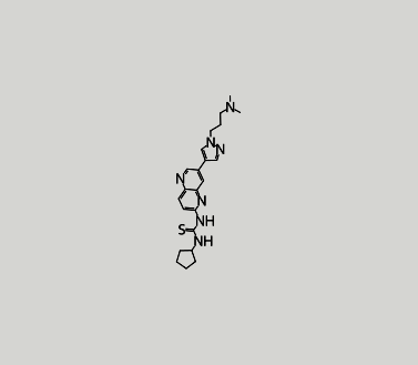 CN(C)CCCn1cc(-c2cnc3ccc(NC(=S)NC4CCCC4)nc3c2)cn1